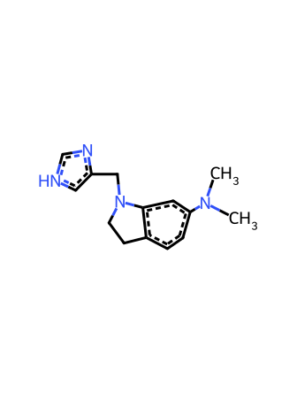 CN(C)c1ccc2c(c1)N(Cc1c[nH]cn1)CC2